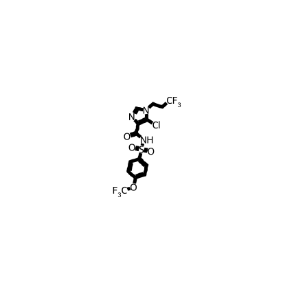 O=C(NS(=O)(=O)c1ccc(OC(F)(F)F)cc1)c1ncn(CCC(F)(F)F)c1Cl